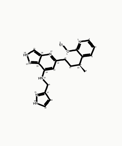 CCOc1ncccc1[C@@H](C)CCc1cc(NCc2cc[nH]n2)c2n[nH]cc2n1